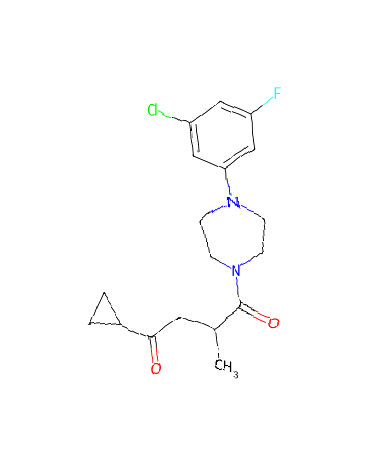 CC(CC(=O)C1CC1)C(=O)N1CCN(c2cc(F)cc(Cl)c2)CC1